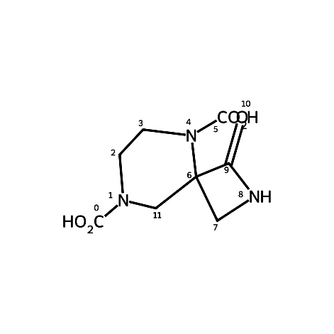 O=C(O)N1CCN(C(=O)O)C2(CNC2=O)C1